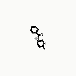 Cc1ccc(NC(=O)c2ccccc2)cn1